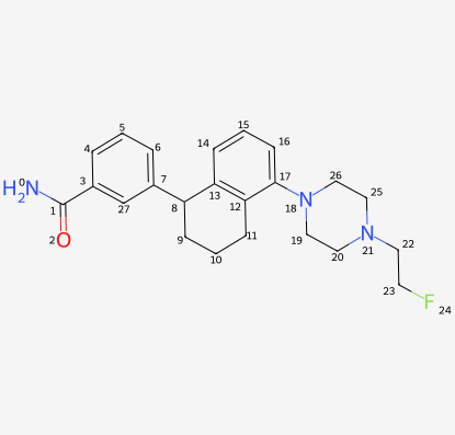 NC(=O)c1cccc(C2CCCc3c2cccc3N2CCN(CCF)CC2)c1